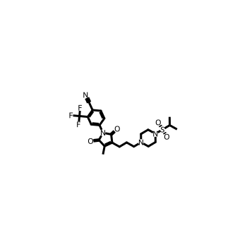 CC1=C(CCCN2CCN(S(=O)(=O)C(C)C)CC2)C(=O)N(c2ccc(C#N)c(C(F)(F)F)c2)C1=O